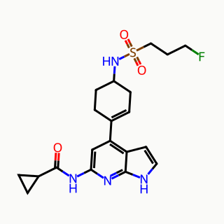 O=C(Nc1cc(C2=CCC(NS(=O)(=O)CCCF)CC2)c2cc[nH]c2n1)C1CC1